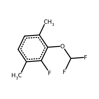 Cc1ccc(C)c(OC(F)F)c1F